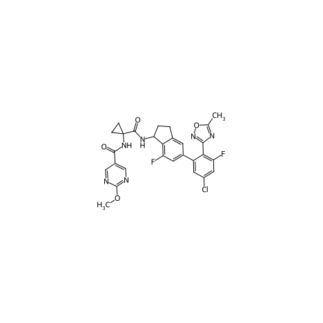 COc1ncc(C(=O)NC2(C(=O)NC3CCc4cc(-c5cc(Cl)cc(F)c5-c5noc(C)n5)cc(F)c43)CC2)cn1